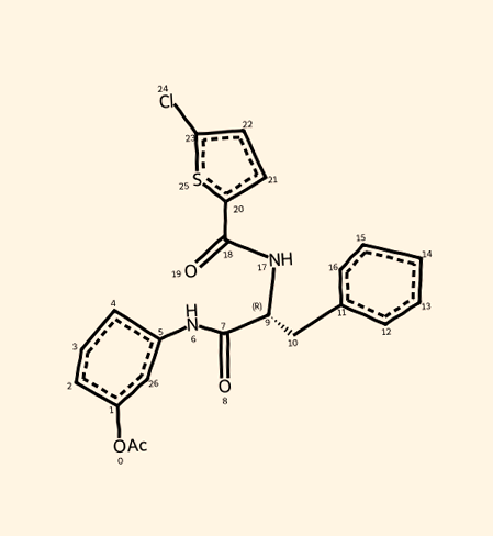 CC(=O)Oc1cccc(NC(=O)[C@@H](Cc2ccccc2)NC(=O)c2ccc(Cl)s2)c1